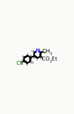 CCOC(=O)c1cc(-c2ccc(Cl)cc2)cnc1C